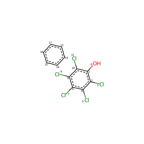 Oc1c(Cl)c(Cl)c(Cl)c(Cl)c1Cl.c1ccccc1